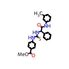 COC(=O)c1ccc(NC(=S)NC(C(=O)Nc2cccc(C)c2)c2ccccc2)cc1